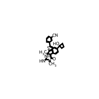 CN1C(=N)N[C@](C)(c2ccc(-c3cccc(C#N)c3)s2)C(c2ccc(C3(O)CCC3)cc2)C1=O